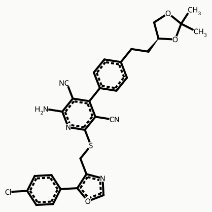 CC1(C)OC[C@H](CCc2ccc(-c3c(C#N)c(N)nc(SCc4ncoc4-c4ccc(Cl)cc4)c3C#N)cc2)O1